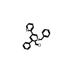 O=CC1C(c2ccccc2)=CC(c2ccccn2)=CN1Cc1ccccc1